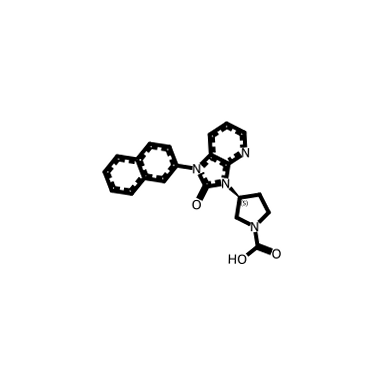 O=C(O)N1CC[C@H](n2c(=O)n(-c3ccc4ccccc4c3)c3cccnc32)C1